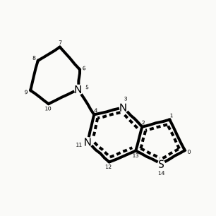 c1cc2nc(N3CCCCC3)ncc2s1